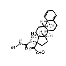 CC(C)NC(=O)O[C@]1(C(=O)C=O)CC[C@H]2[C@@H]3CCC4=CCC=C[C@]4(C)[C@H]3CC[C@@]21C